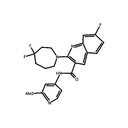 CSc1cc(NC(=O)c2cc3ccc(F)cc3nc2N2CCCC(F)(F)CC2)ccn1